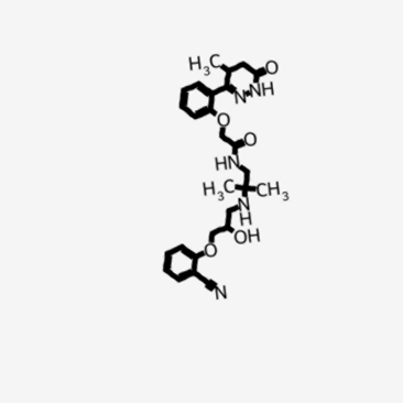 CC1CC(=O)NN=C1c1ccccc1OCC(=O)NCC(C)(C)NCC(O)COc1ccccc1C#N